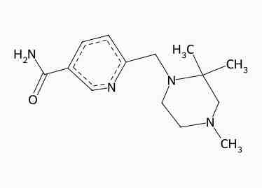 CN1CCN(Cc2ccc(C(N)=O)cn2)C(C)(C)C1